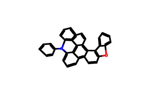 c1ccc(N(c2ccccc2)c2cccc3c4ccc5oc6ccccc6c5c4c4ccccc4c23)cc1